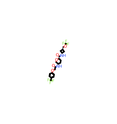 O=C(COc1ccc(C(F)(F)F)cc1)N[C@H]1CC[C@H](C(=O)N[C@H]2C[C@H](COC(F)(F)F)C2)OC1